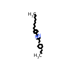 CCCCCCCCCc1ccc(-c2ncc(CC[C@H]3CC[C@H](CCCC)CC3)cn2)cc1